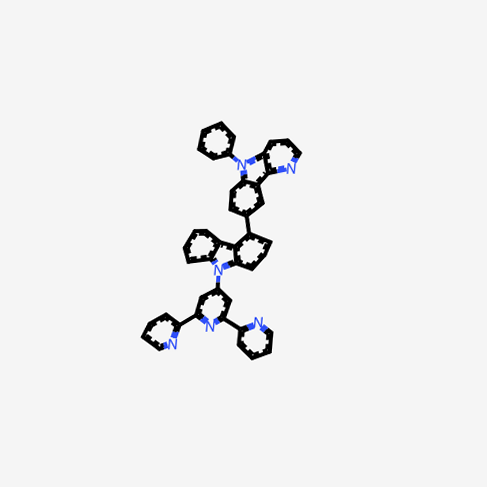 c1ccc(-n2c3ccc(-c4cccc5c4c4ccccc4n5-c4cc(-c5ccccn5)nc(-c5ccccn5)c4)cc3c3ncccc32)cc1